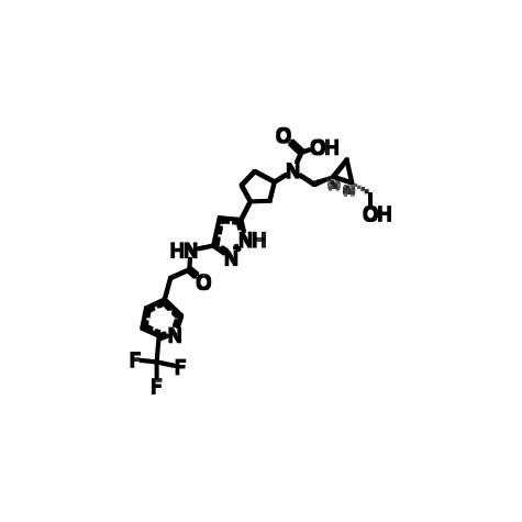 O=C(Cc1ccc(C(F)(F)F)nc1)Nc1cc(C2CCC(N(C[C@H]3C[C@@H]3CO)C(=O)O)C2)[nH]n1